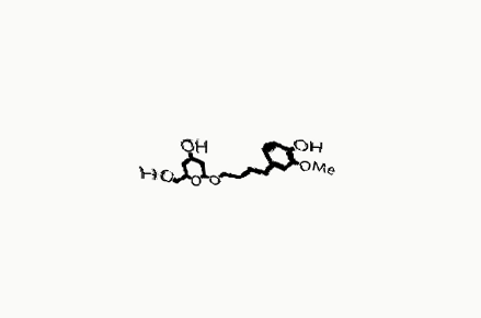 COc1cc(CCCCOC2CC(O)CC(CO)O2)ccc1O